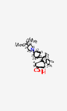 CCC(=C(c1ccc(O)cc1)c1ccc(N2CCC(C(OC)OC)CC2)cc1)c1ccccc1